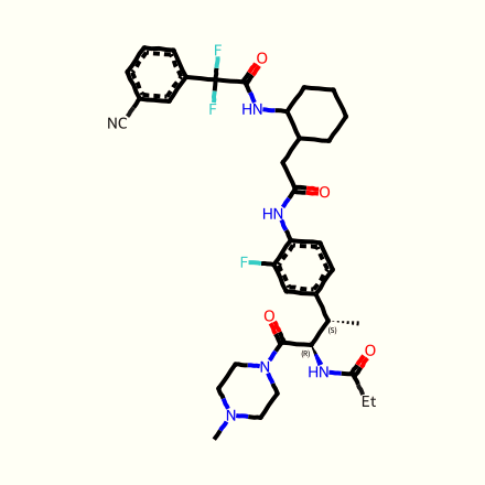 CCC(=O)N[C@@H](C(=O)N1CCN(C)CC1)[C@@H](C)c1ccc(NC(=O)CC2CCCCC2NC(=O)C(F)(F)c2cccc(C#N)c2)c(F)c1